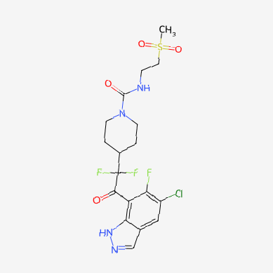 CS(=O)(=O)CCNC(=O)N1CCC(C(F)(F)C(=O)c2c(F)c(Cl)cc3cn[nH]c23)CC1